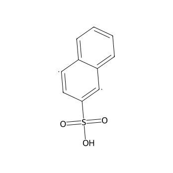 O=S(=O)(O)c1[c]c2ccccc2[c]c1